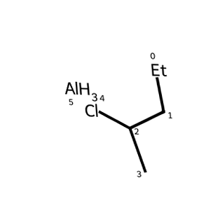 CCCC(C)Cl.[AlH3]